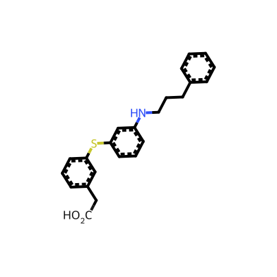 O=C(O)Cc1cccc(Sc2cccc(NCCCc3ccccc3)c2)c1